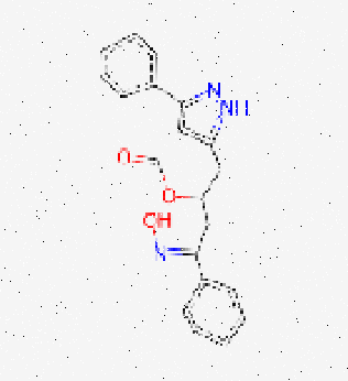 O=COC(CC(=NO)c1ccccc1)Cc1cc(-c2ccccc2)n[nH]1